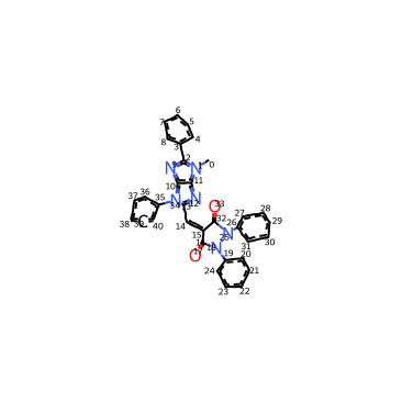 Cn1c(-c2ccccc2)nc2c1nc(C=C1C(=O)N(c3ccccc3)N(c3ccccc3)C1=O)n2-c1ccccc1